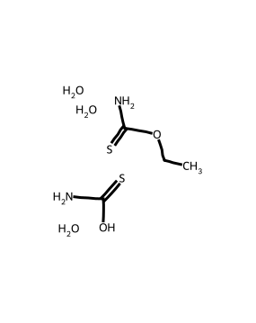 CCOC(N)=S.NC(O)=S.O.O.O